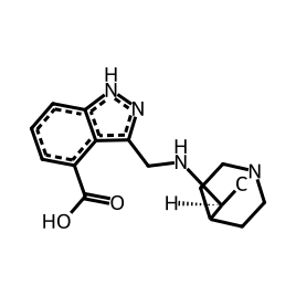 O=C(O)c1cccc2[nH]nc(CN[C@H]3CN4CCC3CC4)c12